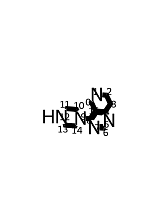 C1=NCCc2ncnc(N3CCNCC3)c21